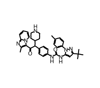 Cc1ccc(-n2nc(C(C)(C)C)cc2NC(=O)Nc2ccc(C(C(=O)c3c(C)nc4ccccn34)C3CCNCC3)cc2)cc1